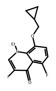 CCn1cc(I)c(=O)c2c(F)ccc(OCC3CC3)c21